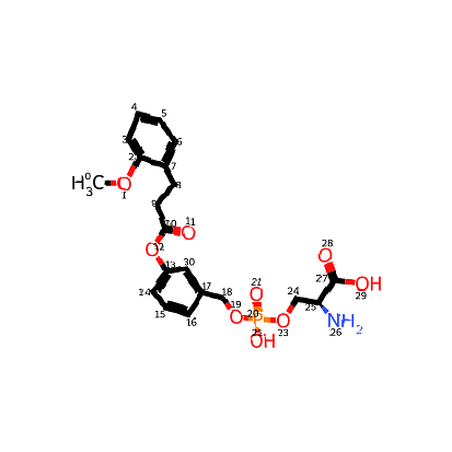 COc1ccccc1CCC(=O)Oc1cccc(COP(=O)(O)OC[C@H](N)C(=O)O)c1